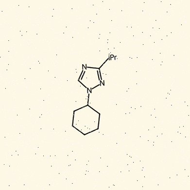 CC(C)c1ncn(C2CCCCC2)n1